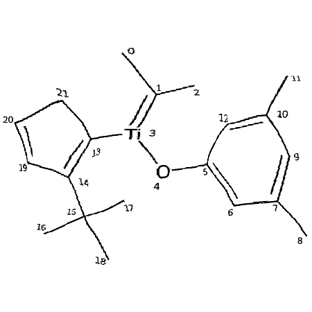 C[C](C)=[Ti]([O]c1cc(C)cc(C)c1)[C]1=C(C(C)(C)C)C=CC1